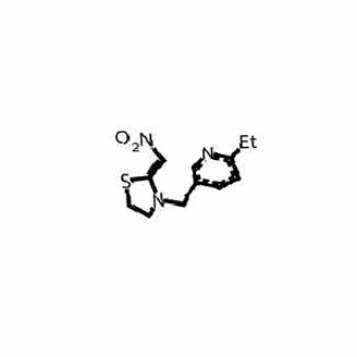 CCc1ccc(CN2CCSC2=C[N+](=O)[O-])cn1